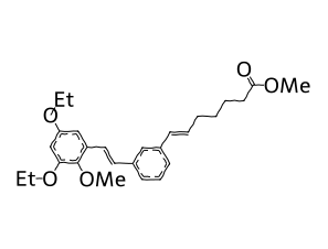 CCOc1cc(C=Cc2cccc(C=CCCCCC(=O)OC)c2)c(OC)c(OCC)c1